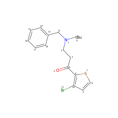 CC(C)(C)N(CCC(=O)c1sccc1Br)Cc1ccccc1